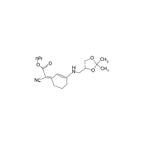 CCCOC(=O)/C(C#N)=C1\C=C(NCC2COC(C)(C)O2)CCC1